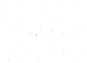 Cc1cc2c(cc1S(N)(=O)=O)S(=O)(=O)NC(CC(=O)N(CO[N+](=O)[O-])CO[N+](=O)[O-])N2